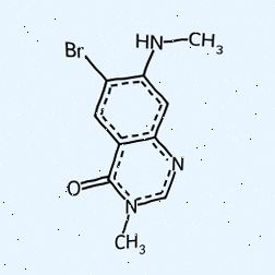 CNc1cc2ncn(C)c(=O)c2cc1Br